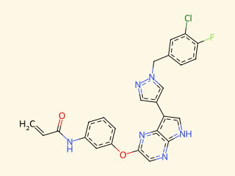 C=CC(=O)Nc1cccc(Oc2cnc3[nH]cc(-c4cnn(Cc5ccc(F)c(Cl)c5)c4)c3n2)c1